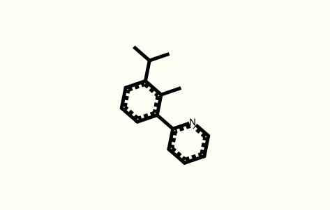 Cc1c(-c2ccccn2)cccc1C(C)C